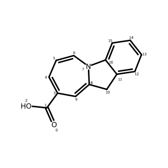 O=C(O)C1=CC=CN2C(=C1)Cc1ccccc12